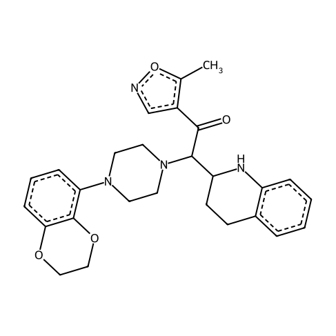 Cc1oncc1C(=O)C(C1CCc2ccccc2N1)N1CCN(c2cccc3c2OCCO3)CC1